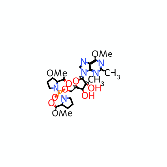 COC(=O)C1CCCN1P(=O)(OC[C@H]1O[C@@H](n2cnc3c(OC)nc(C)nc32)[C@@](C)(O)C1O)N1CCCC1C(=O)OC